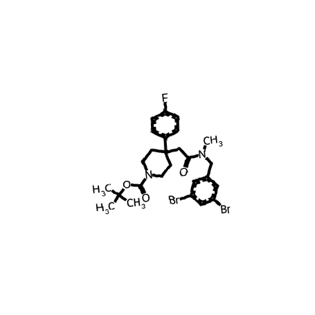 CN(Cc1cc(Br)cc(Br)c1)C(=O)CC1(c2ccc(F)cc2)CCN(C(=O)OC(C)(C)C)CC1